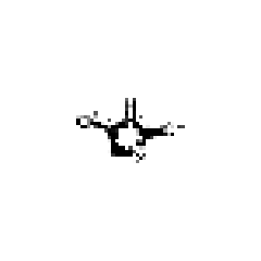 O=c1[nH]c(Cl)cs1